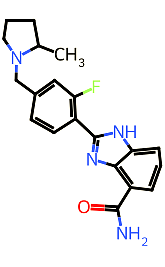 CC1CCCN1Cc1ccc(-c2nc3c(C(N)=O)cccc3[nH]2)c(F)c1